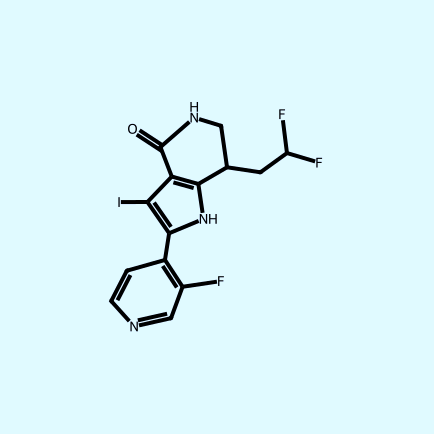 O=C1NCC(CC(F)F)c2[nH]c(-c3ccncc3F)c(I)c21